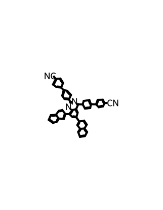 N#Cc1ccc(C2=CCC(c3nc(-c4ccc(-c5ccc(C#N)cc5)cc4)nc4c(-c5ccc6ccccc6c5)cc(-c5ccc6ccccc6c5)cc34)C=C2)cc1